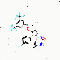 C[C@H](N)C[C@@H](NC=O)[C@@H]1CC[C@H](OCc2cc(C(F)(F)F)cc(C(F)(F)F)c2)[C@H]1c1ccc(F)cc1